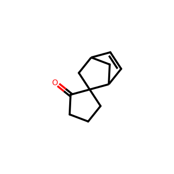 O=C1CCCC12CC1C=CC2C1